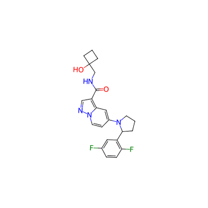 O=C(NCC1(O)CCC1)c1cnn2ccc(N3CCCC3c3cc(F)ccc3F)cc12